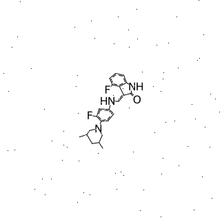 CC1CC(C)CN(c2ccc(N/C=C3/C(=O)Nc4cccc(F)c43)cc2F)C1